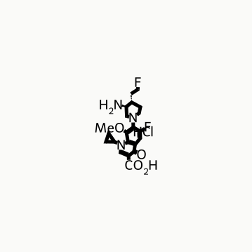 COc1c(N2CC[C@@H](CCF)[C@H](N)C2)c(F)cc2c(=O)c(C(=O)O)cn(C3CC3)c12.Cl